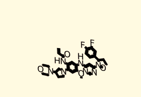 C=CC(=O)Nc1cc(Nc2cc(N3OCCC3c3ccc(F)c(F)c3)ncn2)c(OC)cc1N1CCC(N2CCOCC2)C1